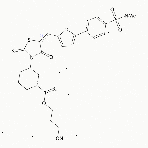 CNS(=O)(=O)c1ccc(-c2ccc(/C=C3/SC(=S)N(C4CCCC(C(=O)OCCCO)C4)C3=O)o2)cc1